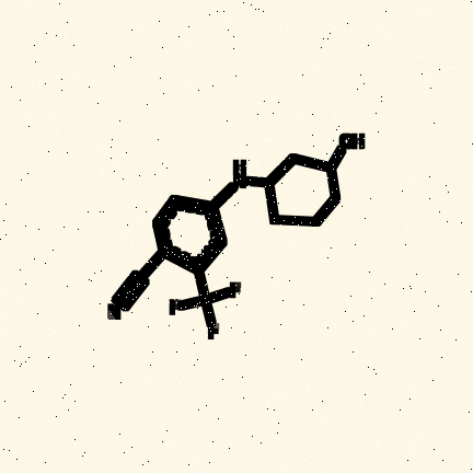 N#Cc1ccc(NC2CCCC(O)C2)cc1C(F)(F)F